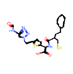 O=CNc1cn(Cc2ccc(C(NC(=O)C(CS)CCc3ccccc3)C(=O)O)s2)nn1